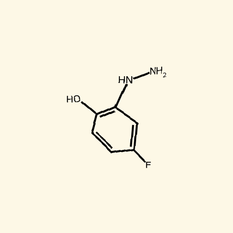 NNc1cc(F)ccc1O